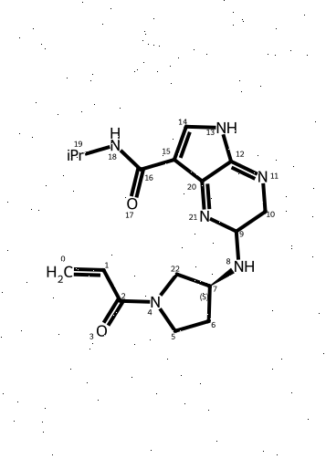 C=CC(=O)N1CC[C@H](NC2CN=c3[nH]cc(C(=O)NC(C)C)c3=N2)C1